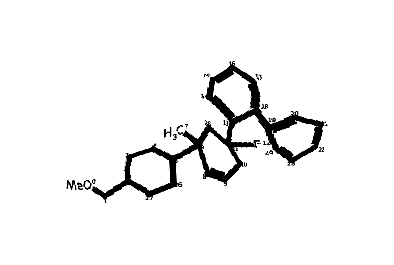 COCC1CCC(C2(C)C=CCC(F)(c3ccccc3-c3ccccc3)C2)CC1